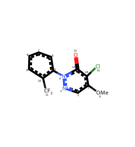 COc1cnn(-c2ccccc2C(F)(F)F)c(=O)c1Cl